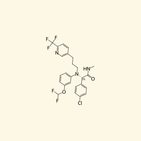 CNC(=O)[C@H](c1ccc(Cl)cc1)N(CCCc1ccc(C(F)(F)F)nc1)c1cccc(OC(F)F)c1